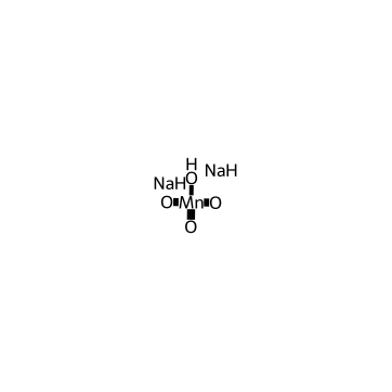 [NaH].[NaH].[O]=[Mn](=[O])(=[O])[OH]